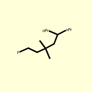 CCCC(CCC)CC(C)(C)CCF